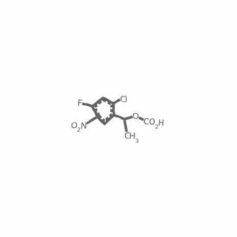 CC(OC(=O)O)c1cc([N+](=O)[O-])c(F)cc1Cl